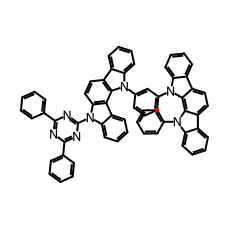 c1ccc(-c2nc(-c3ccccc3)nc(-n3c4ccccc4c4c3ccc3c5ccccc5n(-c5cccc(-n6c7ccccc7c7ccc8c9ccccc9n(-c9ccccc9)c8c76)c5)c34)n2)cc1